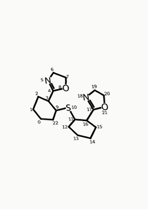 C1CCC(C2=NCCO2)C(SC2CCCCC2C2=NCCO2)C1